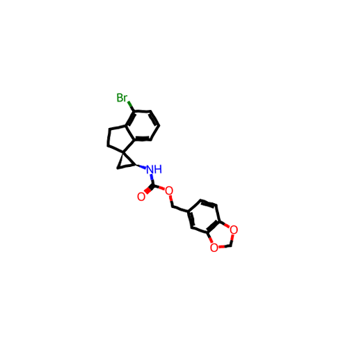 O=C(N[C@H]1C[C@]12CCc1c(Br)cccc12)OCc1ccc2c(c1)OCO2